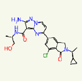 CC(C1CC1)N1Cc2cc(-c3ccn4nc(N)c(C(=O)N[C@H](C)CO)c4n3)cc(Cl)c2C1=O